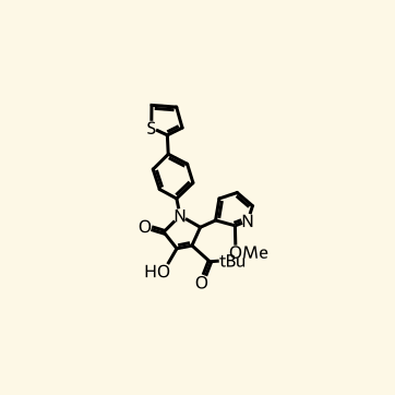 COc1ncccc1C1C(C(=O)C(C)(C)C)=C(O)C(=O)N1c1ccc(-c2cccs2)cc1